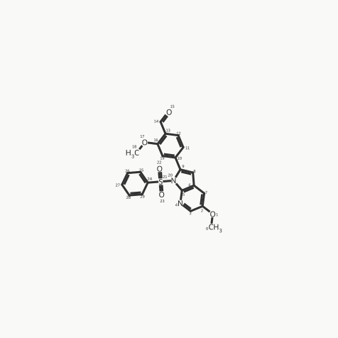 COc1cnc2c(c1)cc(-c1ccc(C=O)c(OC)c1)n2S(=O)(=O)c1ccccc1